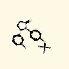 O=C1CC[C@@H](c2cccc(F)c2)N1c1ccc(OC(F)(F)F)cc1